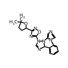 CC1(C)CCC(c2noc(N3C=NC4c5ccccc5-n5cncc5N43)n2)O1